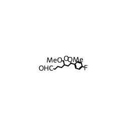 COC(=O)C(CCCC=O)CC(OC)c1ccc(F)cc1